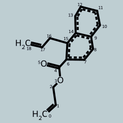 C=CCOC(=O)c1ccc2ccccc2c1CC=C